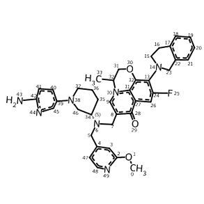 COc1cc(CN(Cc2cn3c4c(c(N5CCc6ccccc6C5)c(F)cc4c2=O)OCC3C)[C@H]2CCCN(c3ccc(N)nc3)C2)ccn1